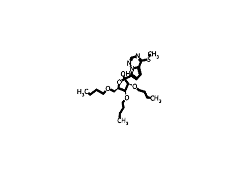 CCCCOC[C@H]1OC(O)(c2ccc3c(SC)ncnn23)[C@H](OCCCC)[C@@H]1OCCCC